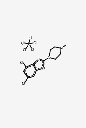 CN1CCN(c2nc3cc(Cl)cc(Cl)c3o2)CC1.ClP(Cl)(Cl)(Cl)Cl